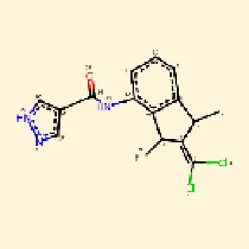 CCC1C(=C(Cl)Cl)C(C)c2cccc(NC(=O)c3cn[nH]c3)c21